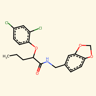 CCCC(Oc1ccc(Cl)cc1Cl)C(=O)NCc1ccc2c(c1)OCO2